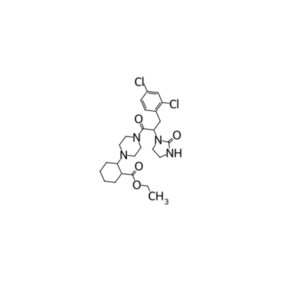 CCOC(=O)C1CCCCC1N1CCN(C(=O)C(Cc2ccc(Cl)cc2Cl)N2CCNC2=O)CC1